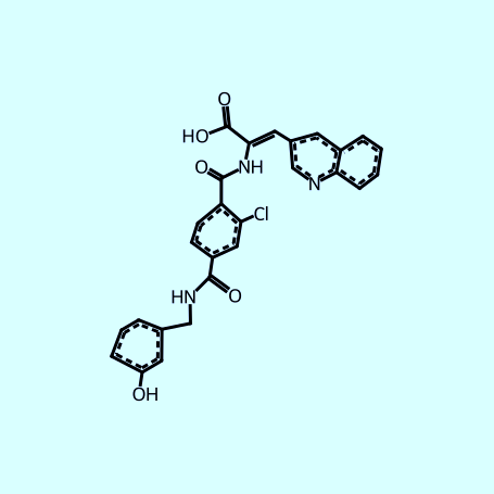 O=C(O)/C(=C/c1cnc2ccccc2c1)NC(=O)c1ccc(C(=O)NCc2cccc(O)c2)cc1Cl